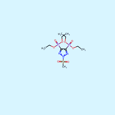 CCOP(=O)(OCC)c1nn(S(C)(=O)=O)nc1P(=O)(OCC)OCC